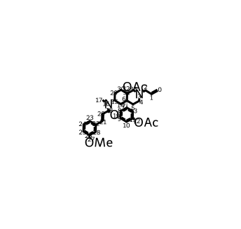 C=CCN1CC[C@@]2(c3cccc(OC(C)=O)c3)C[C@H](N(C)C(=O)C=Cc3cccc(OC)c3)CC[C@]2(OC(C)=O)C1